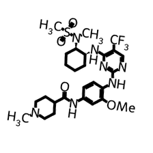 COc1cc(NC(=O)C2CCN(C)CC2)ccc1Nc1ncc(C(F)(F)F)c(N[C@@H]2CCCC[C@H]2N(C)S(C)(=O)=O)n1